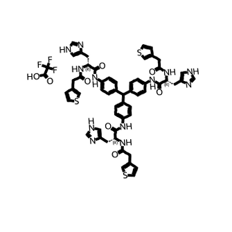 O=C(Cc1ccsc1)N[C@H](Cc1c[nH]cn1)C(=O)Nc1ccc(C(c2ccc(NC(=O)[C@@H](Cc3c[nH]cn3)NC(=O)Cc3ccsc3)cc2)c2ccc(NC(=O)[C@@H](Cc3c[nH]cn3)NC(=O)Cc3ccsc3)cc2)cc1.O=C(O)C(F)(F)F